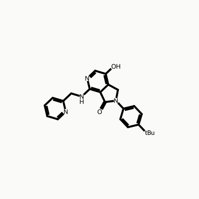 CC(C)(C)c1ccc(N2Cc3c(O)cnc(NCc4ccccn4)c3C2=O)cc1